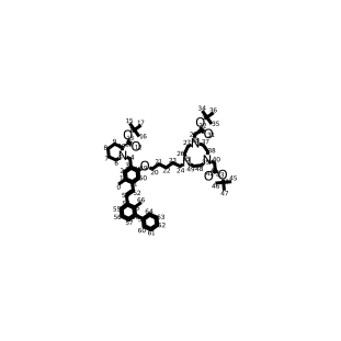 Cc1cc(CN2CCCC[C@H]2C(=O)OC(C)(C)C)c(OCCCCCN2CCN(CC(=O)OC(C)(C)C)CCN(CC(=O)OC(C)(C)C)CC2)cc1/C=C/c1cccc(-c2ccccc2)c1C